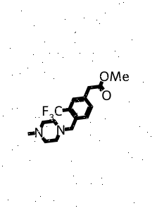 COC(=O)Cc1ccc(CN2CCN(C)CC2)c(C(F)(F)F)c1